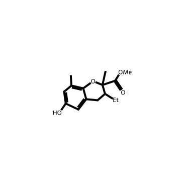 CCC1Cc2cc(O)cc(C)c2OC1(C)C(=O)OC